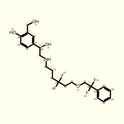 OCc1cc([C@@H](O)CNCCCC(F)(F)CCOCC(F)(F)c2ccccc2)ccc1O